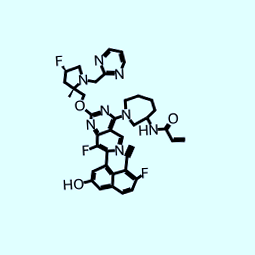 C#Cc1c(F)ccc2cc(O)cc(-c3ncc4c(N5CCCCC(NC(=O)C=C)C5)nc(OC[C@]5(C)C[C@@H](F)CN5Cc5ncccn5)nc4c3F)c12